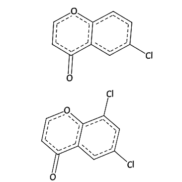 O=c1ccoc2c(Cl)cc(Cl)cc12.O=c1ccoc2ccc(Cl)cc12